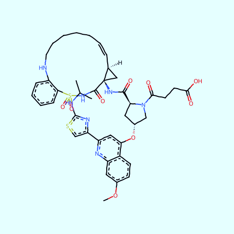 COc1ccc2c(O[C@@H]3C[C@@H](C(=O)N[C@]45C[C@@H]4/C=C\CCCCCNc4ccccc4S(=O)(=O)NC5=O)N(C(=O)CCC(=O)O)C3)cc(-c3csc(NC(C)C)n3)nc2c1